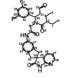 CCC(CC)C(=O)N(CC(=O)Nc1ccc2c(c1)CC1(C2)C(=O)Nc2ncccc21)C(CC=O)c1cc(F)cc(F)c1